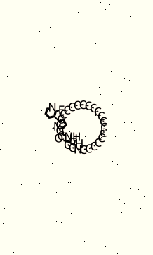 C[C@H]1[C@H](NC(=O)c2ccc(-c3cccnc3F)n2C)C2CCCCCCCCCCCCCCCCCCCCCN1CC2